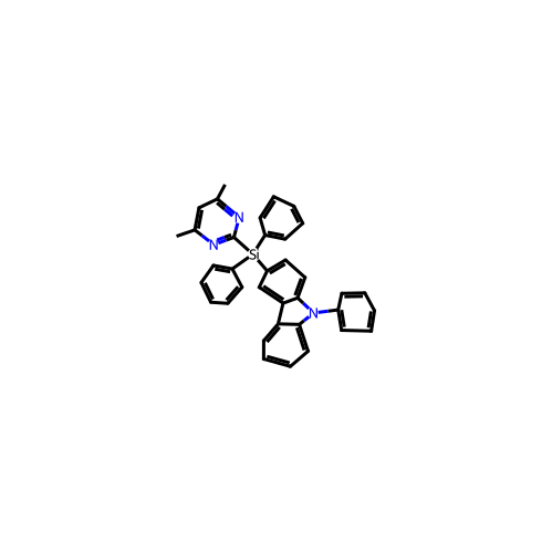 Cc1cc(C)nc([Si](c2ccccc2)(c2ccccc2)c2ccc3c(c2)c2ccccc2n3-c2ccccc2)n1